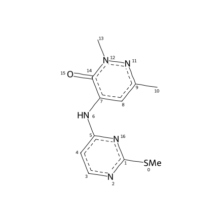 CSc1nccc(Nc2cc(C)nn(C)c2=O)n1